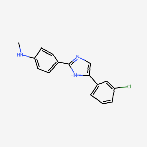 CNc1ccc(-c2ncc(-c3cccc(Cl)c3)[nH]2)cc1